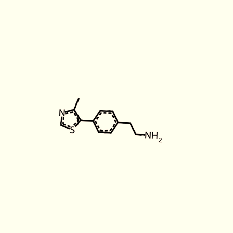 Cc1ncsc1-c1ccc(CCN)cc1